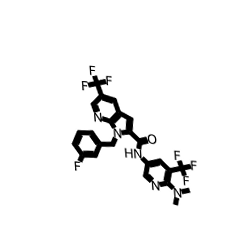 CN(C)c1ncc(NC(=O)c2cc3cc(C(F)(F)F)cnc3n2Cc2cccc(F)c2)cc1C(F)(F)F